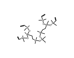 C=C[Si](C)(C)O[Si](C)(CC[Si](C)(C)O[Si](C)(I)O[Si](C)(C)CC[Si](C)(O[Si](C)(C)C=C)O[Si](C)(C)C=C)O[Si](C)(C)C=C